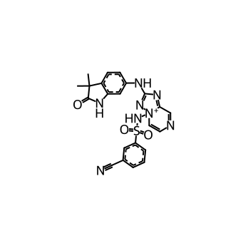 CC1(C)C(=O)Nc2cc(NC3=N[N+]4(NS(=O)(=O)c5cccc(C#N)c5)C=CN=CC4=N3)ccc21